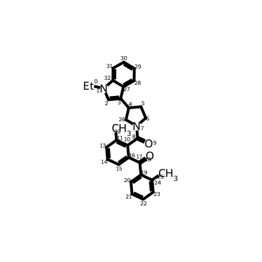 CCn1cc(C2CCN(C(=O)c3c(C)cccc3C(=O)c3ccccc3C)C2)c2ccccc21